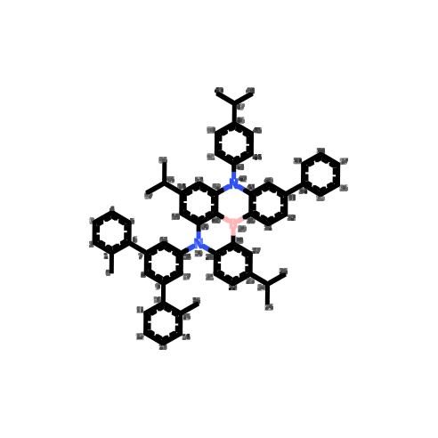 Cc1ccccc1-c1cc(-c2ccccc2C)cc(N2c3ccc(C(C)C)cc3B3c4ccc(-c5ccccc5)cc4N(c4ccc(C(C)C)cc4)c4cc(C(C)C)cc2c43)c1